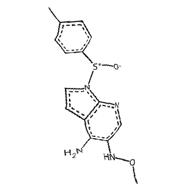 CONc1cnc2c(ccn2[S+]([O-])c2ccc(C)cc2)c1N